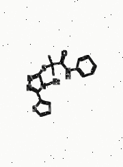 CCn1c(SC(C)(C)C(=O)Nc2ccccc2)nnc1-c1cccs1